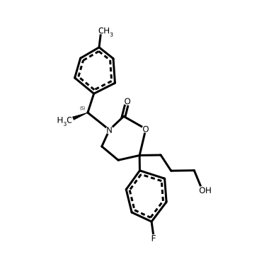 Cc1ccc([C@H](C)N2CCC(CCCO)(c3ccc(F)cc3)OC2=O)cc1